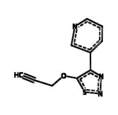 C#CCOc1snnc1-c1cccnc1